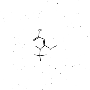 CSC(=NC(=O)O)N(C)C(C)(C)C